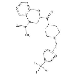 CC(=O)N1CC(C(=O)N2CCN(Cc3ccc(C(F)(F)F)cc3)CC2)Oc2ccccc21